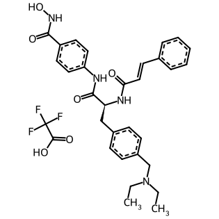 CCN(CC)Cc1ccc(C[C@H](NC(=O)/C=C/c2ccccc2)C(=O)Nc2ccc(C(=O)NO)cc2)cc1.O=C(O)C(F)(F)F